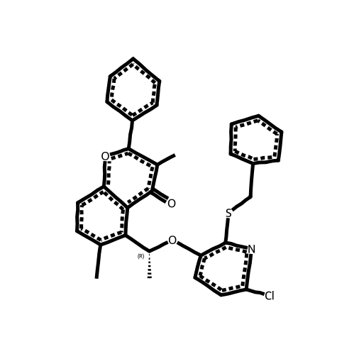 Cc1ccc2oc(-c3ccccc3)c(C)c(=O)c2c1[C@@H](C)Oc1ccc(Cl)nc1SCc1ccccc1